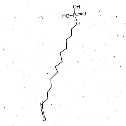 O=C=NCCCCCCCCCCCCOP(=O)(O)O